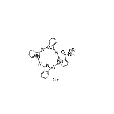 CCCNC(=O)c1cccc2c3nc4nc(nc5[nH]c(nc6nc(nc([nH]3)c12)-c1ccccc1-6)c1ccccc51)-c1ccccc1-4.[Cu]